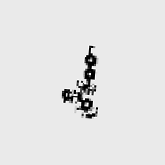 O=C(N[C@H](CN1CCCC1)[C@@H](O)c1ccc2c(c1F)OCCO2)C(=O)c1ccc(-c2ccc(F)cc2)cc1